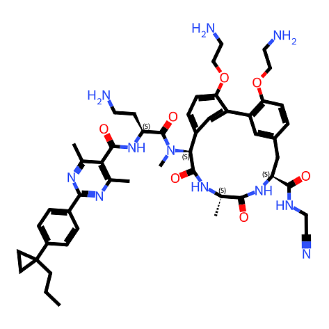 CCCC1(c2ccc(-c3nc(C)c(C(=O)N[C@@H](CCN)C(=O)N(C)[C@@H]4C(=O)N[C@@H](C)C(=O)N[C@H](C(=O)NCC#N)Cc5ccc(OCCN)c(c5)-c5cc4ccc5OCCN)c(C)n3)cc2)CC1